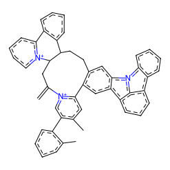 C=C1CC2C(CCc3cc4c(cc3-c3cc(C)c(-c5ccccc5C)c[n+]31)c1cccc3c5ccccc5n4c31)c1ccccc1-c1cccc[n+]12